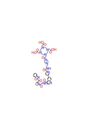 O=C(O)CN1CCN(CC(=O)O)CCN(CC(=O)N2CCN(CCNC(=O)c3ccc(-c4ccc5nccc(C(=O)NCC(=O)N6CCC[C@H]6C(=O)c6nc7ccccc7o6)c5c4)cn3)CC2)CCN(CC(=O)O)CC1